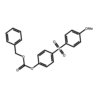 COc1ccc(S(=O)(=O)c2ccc(OC(=O)OCc3ccccc3)cc2)cc1